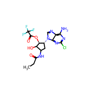 CCC(=O)NC1C[C@@H](n2cnc3c(N)nc(Cl)nc32)[C@H](OC(=O)C(F)(F)F)C1O